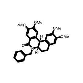 COc1cc2c(cc1OC)[C@H]1c3cc(OC)c(OC)cc3C(=O)N(Cc3ccccc3)[C@@H]1CC2